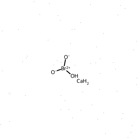 [CaH2].[O-][Br+2]([O-])O